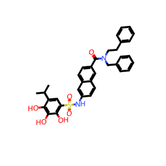 CC(C)c1cc(S(=O)(=O)Nc2ccc3cc(C(=O)N(CCc4ccccc4)Cc4ccccc4)ccc3c2)c(O)c(O)c1O